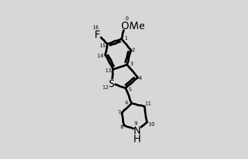 COc1cc2cc(C3CCNCC3)sc2cc1F